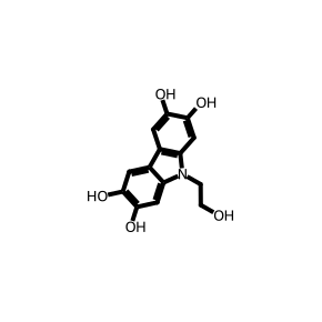 OCCn1c2cc(O)c(O)cc2c2cc(O)c(O)cc21